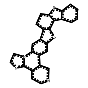 c1ccc2c(c1)sc1ccc3c4cc5c(cc4sc3c12)c1cnccc1c1nccn51